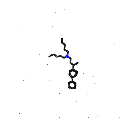 CCCCCN(CCCCC)CCC(C)c1ccc(-c2ccccc2)cc1